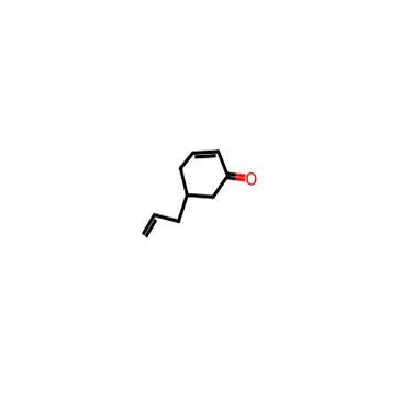 C=CCC1CC=CC(=O)C1